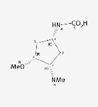 CN[C@H]1C[C@@H](NC(=O)O)C[C@H]1OC